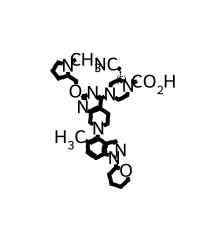 Cc1ccc2c(cnn2C2CCCCO2)c1N1CCc2c(nc(OCC3CCCN3C)nc2N2CCN(C(=O)O)[C@@H](CC#N)C2)C1